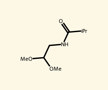 COC(CNC(=O)C(C)C)OC